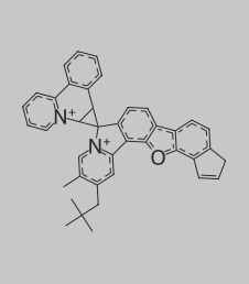 Cc1c[n+]2c(cc1CC(C)(C)C)-c1c(ccc3c1oc1c4c(ccc13)CC=C4)C21C2c3ccccc3-c3cccc[n+]3C21